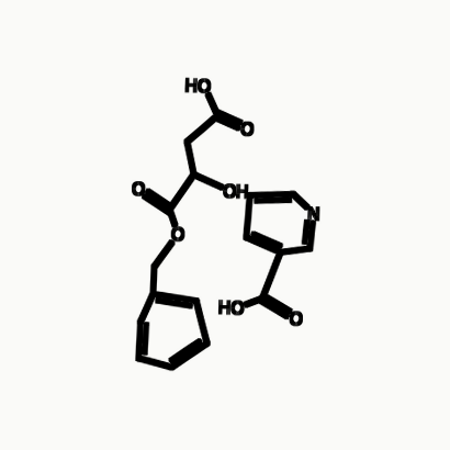 O=C(O)CC(O)C(=O)OCc1ccccc1.O=C(O)c1cccnc1